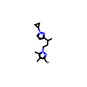 Cc1c(C(C)C)nn(CCC(C)c2ccn(C3CC3)n2)c1C